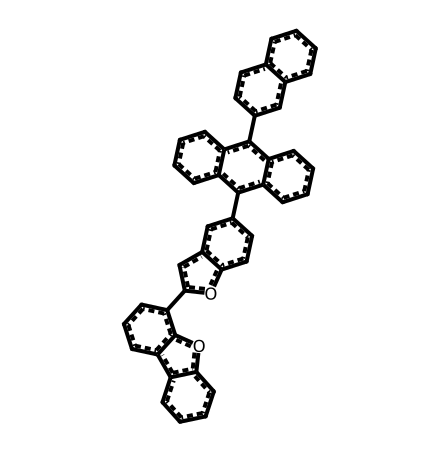 c1ccc2cc(-c3c4ccccc4c(-c4ccc5oc(-c6cccc7c6oc6ccccc67)cc5c4)c4ccccc34)ccc2c1